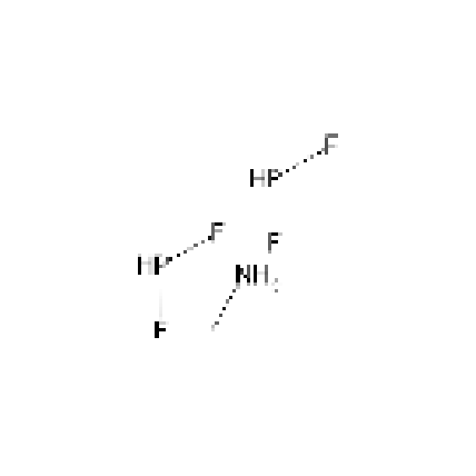 CN.FPF.FPF